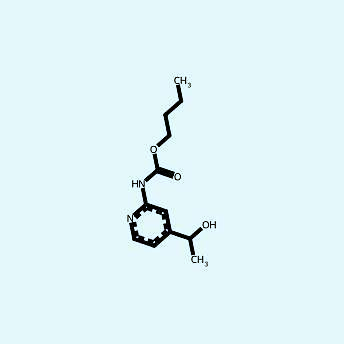 CCCCOC(=O)Nc1cc(C(C)O)ccn1